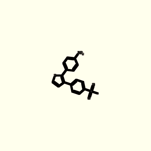 CS(=O)(=O)c1ccc(-c2ccsc2-c2ccc([N+](=O)[O-])cc2)cc1